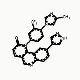 Cc1cn(-c2ccc(-n3c(=O)ccc4cnc5ccc(-c6cn[nH]c6)cc5c43)cc2C(F)(F)F)cn1